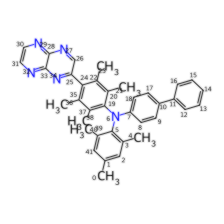 Cc1cc(C)c(N(c2ccc(-c3ccccc3)cc2)c2c(C)c(C)c(-c3cnc4nccnc4n3)c(C)c2C)c(C)c1